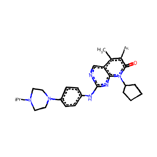 CC(=O)c1c(C)c2cnc(Nc3ccc(N4CCN(C(C)C)CC4)cc3)nc2n(C2CCCC2)c1=O